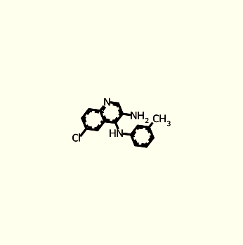 Cc1cccc(Nc2c(N)cnc3ccc(Cl)cc23)c1